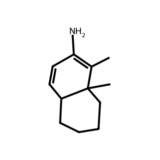 CC1=C(N)C=CC2CCCCC12C